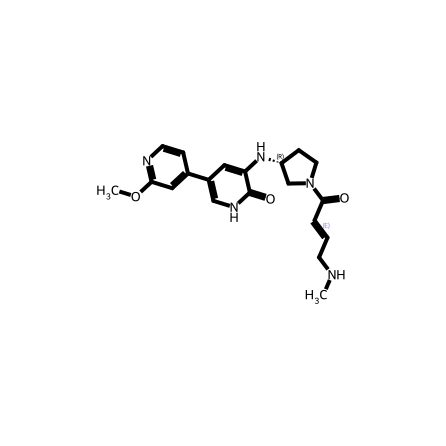 CNC/C=C/C(=O)N1CC[C@@H](Nc2cc(-c3ccnc(OC)c3)c[nH]c2=O)C1